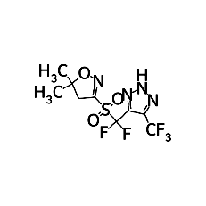 CC1(C)CC(S(=O)(=O)C(F)(F)c2n[nH]nc2C(F)(F)F)=NO1